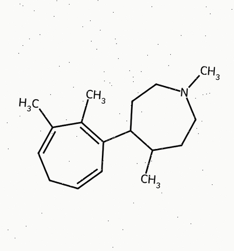 CC1=CCC=CC(C2CCN(C)CCC2C)=C1C